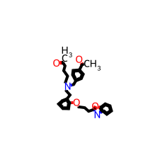 CC(=O)CCCCN(CCc1ccccc1OCCCc1nc2ccccc2o1)Cc1ccc(C(C)=O)cc1